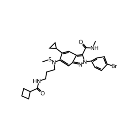 CNC(=O)c1c2cc(C3CC3)c(N(CCCNC(=O)C3CCC3)SC)cc2nn1-c1ccc(Br)cc1